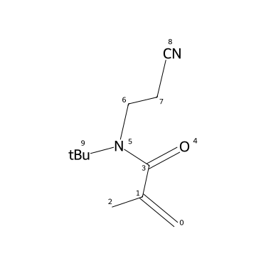 C=C(C)C(=O)N(CCC#N)C(C)(C)C